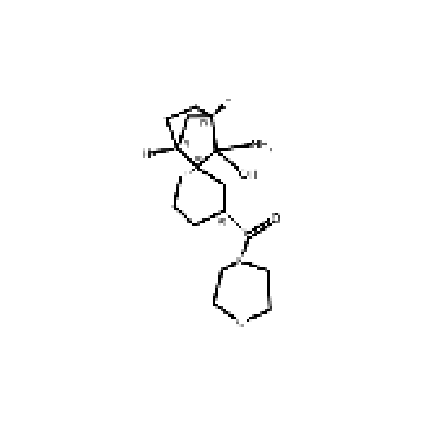 NC1(O)[C@H]2CC[C@H](C2)[C@@]12CCC[C@@H](C(=O)N1CCOCC1)C2